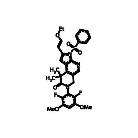 CCO/C=C/c1cc2c3c(cnc2n1S(=O)(=O)c1ccccc1)CN(c1c(F)c(OC)cc(OC)c1F)C(=O)C3(C)C